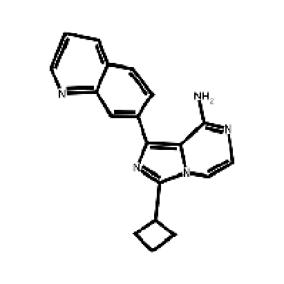 Nc1nccn2c(C3CCC3)nc(-c3ccc4cccnc4c3)c12